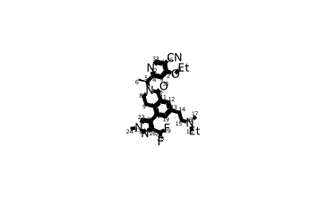 CCOc1cc([C@H](C)N2CCc3c(cc(CCN(C)CC)cc3-c3cn(C)nc3C(F)F)C2=O)ncc1C#N